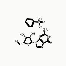 Nc1nc2c(ncn2[C@@H]2O[C@H](CO)[C@@H](O)[C@H]2O)c(=O)[nH]1.O=P(O)(O)c1ccccc1